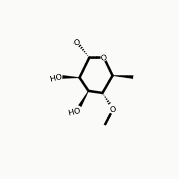 CO[C@@H]1[C@@H](O)[C@@H](O)[C@H]([O])O[C@H]1C